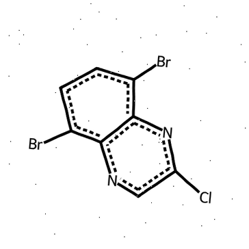 Clc1cnc2c(Br)ccc(Br)c2n1